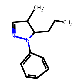 [CH2]C1C=NN(c2ccccc2)C1CCC